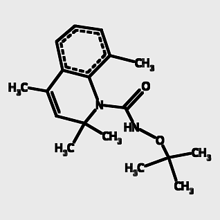 CC1=CC(C)(C)N(C(=O)NOC(C)(C)C)c2c(C)cccc21